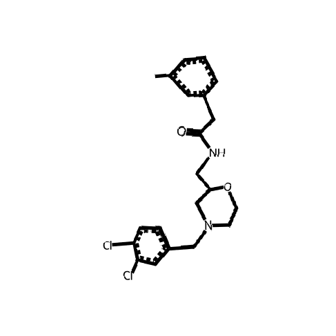 Cc1cccc(CC(=O)NCC2CN(Cc3ccc(Cl)c(Cl)c3)CCO2)c1